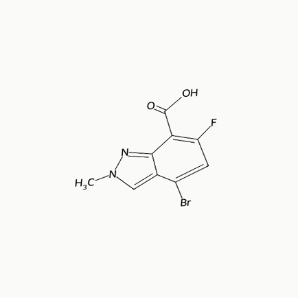 Cn1cc2c(Br)cc(F)c(C(=O)O)c2n1